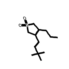 CCCC1CS(=O)(=O)CC1CCC(C)(C)C